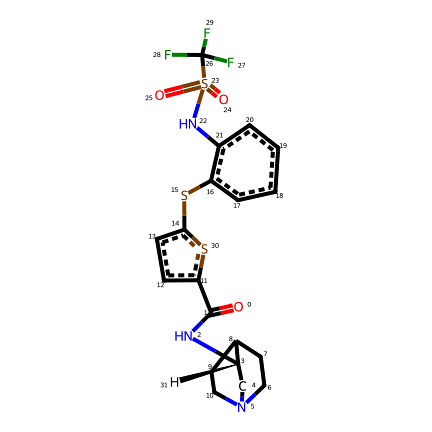 O=C(N[C@H]1CN2CCC1CC2)c1ccc(Sc2ccccc2NS(=O)(=O)C(F)(F)F)s1